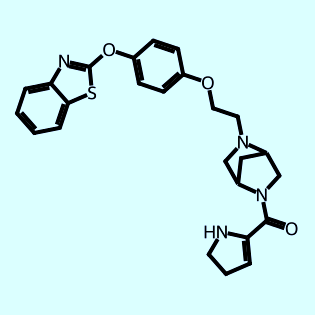 O=C(C1=CCCN1)N1CC2CC1CN2CCOc1ccc(Oc2nc3ccccc3s2)cc1